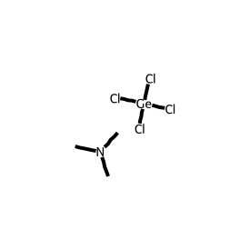 CN(C)C.[Cl][Ge]([Cl])([Cl])[Cl]